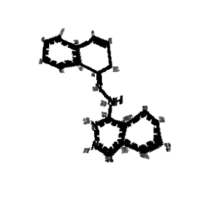 C1=Cc2ccccc2C(=NNc2nncc3ccccc23)C1